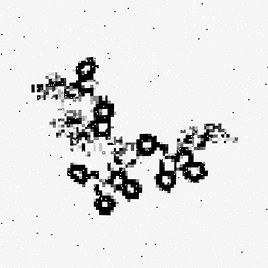 CC(C)Cn1c(N(C)C)nc2c(N(Cc3ccccc3)Cc3ccccc3)nc3ccccc3c21.CCCN(C)c1nc2c(N)nc3ccccc3c2n1CC(C)(C)O.CCCNc1nc2c(N(Cc3ccccc3)Cc3ccccc3)nc3ccccc3c2n1CC(C)(C)OC.CCCNc1nc2c(N)nc3ccccc3c2n1CC(C)(C)O